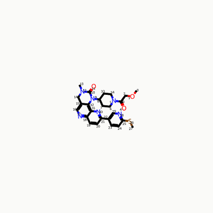 COCC(=O)N1CCC(N2C(=O)N(C)Cc3cnc4ccc(-c5ccc(SC)nc5)nc4c32)CC1